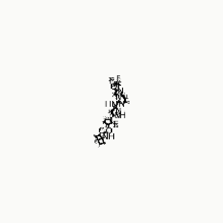 O=C(NC12CCC1CC2)O[C@H]1CC[C@@H](c2cc(Nc3nccc4nc(OC(F)(F)F)cn34)n[nH]2)[C@H]1F